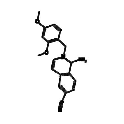 COc1ccc(CN2C=Cc3cc(C#N)ccc3C2N)c(OC)c1